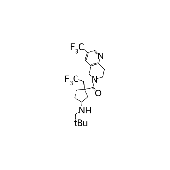 CC(C)(C)CN[C@@H]1CC[C@](CC(F)(F)F)(C(=O)N2CCc3ncc(C(F)(F)F)cc3C2)C1